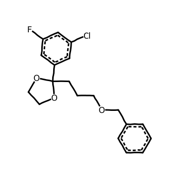 Fc1cc(Cl)cc(C2(CCCOCc3ccccc3)OCCO2)c1